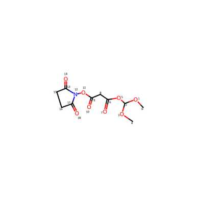 COC(OC)OC(=O)CC(=O)ON1C(=O)CCC1=O